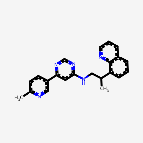 Cc1ccc(-c2cc(NCC(C)c3cccc4cccnc34)ncn2)cn1